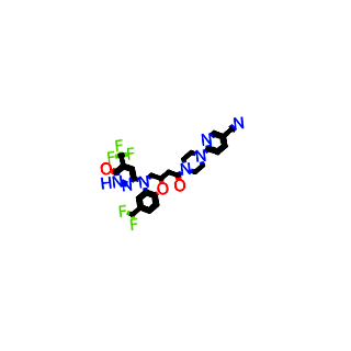 N#Cc1ccc(N2CCN(C(=O)CC3CN(c4cc(C(F)(F)F)c(=O)[nH]n4)c4cc(C(F)F)ccc4O3)CC2)nc1